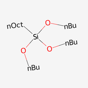 CCCCCCCC[Si](OCCCC)(OCCCC)OCCCC